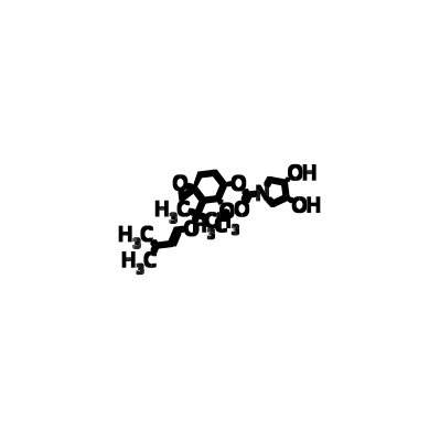 CO[C@H]1C(C(C)(C)O/C=C/C(C)C)[C@]2(CC[C@H]1OC(=O)N1C[C@H](O)[C@@H](O)C1)CO2